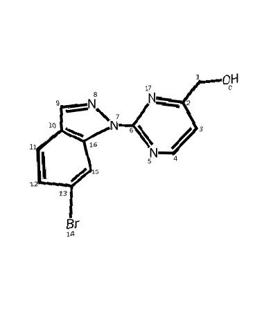 OCc1ccnc(-n2ncc3ccc(Br)cc32)n1